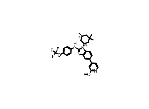 COc1cc(-c2ccc3c(c2)nc(Nc2ccc(OC(F)(F)F)cc2)n3[C@H]2C[C@@H](C)CC(C)(C)C2)ccn1